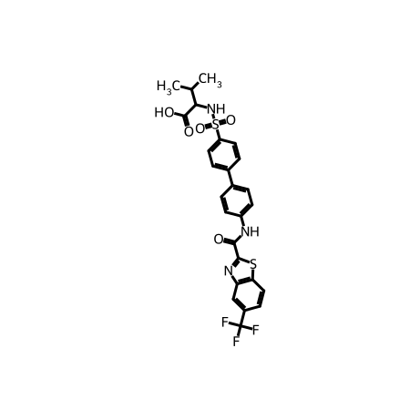 CC(C)C(NS(=O)(=O)c1ccc(-c2ccc(NC(=O)c3nc4cc(C(F)(F)F)ccc4s3)cc2)cc1)C(=O)O